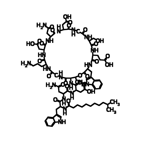 CC(C)CCCCCCCCC(=O)NC(Cc1c[nH]c2ccccc12)C(=O)NC(CC(N)=O)C(=O)NC(CC(=O)O)C(=O)NC1C(=O)NCC(=O)NC(CCCN)C(=O)NC(CC(=O)O)C(=O)NC(CC(N)=O)C(=O)NC(CC(=O)O)C(=O)NCC(=O)NC(CO)C(=O)NC(CCC(=O)O)C(=O)NC(Cc2c[nH]c3ccccc23)C(=O)OC1C